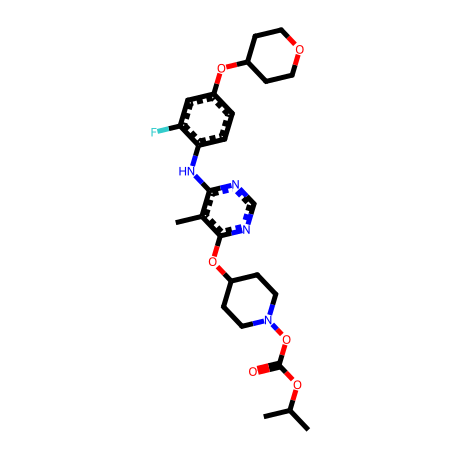 Cc1c(Nc2ccc(OC3CCOCC3)cc2F)ncnc1OC1CCN(OC(=O)OC(C)C)CC1